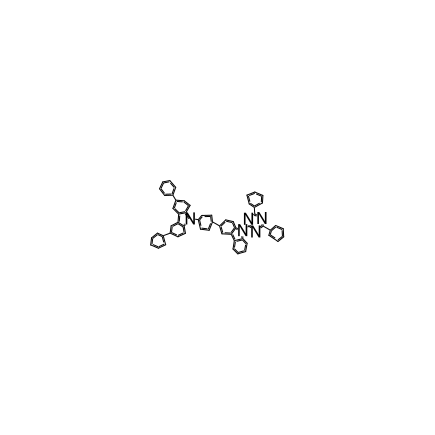 c1ccc(-c2ccc3c(c2)c2cc(-c4ccccc4)ccc2n3-c2ccc(-c3ccc4c(c3)c3ccccc3n4-c3nc(-c4ccccc4)nc(-c4ccccc4)n3)cc2)cc1